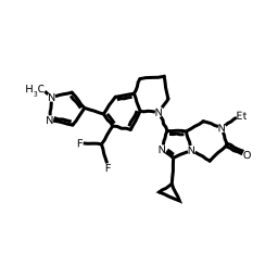 CCN1Cc2c(N3CCCc4cc(-c5cnn(C)c5)c(C(F)F)cc43)nc(C3CC3)n2CC1=O